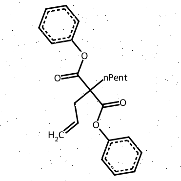 C=CCC(CCCCC)(C(=O)Oc1ccccc1)C(=O)Oc1ccccc1